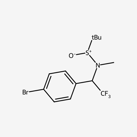 CN(C(c1ccc(Br)cc1)C(F)(F)F)[S+]([O-])C(C)(C)C